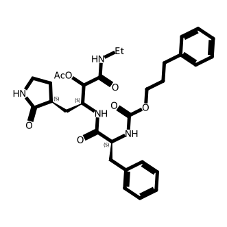 CCNC(=O)C(OC(C)=O)[C@H](C[C@@H]1CCNC1=O)NC(=O)[C@H](Cc1ccccc1)NC(=O)OCCCc1ccccc1